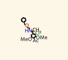 COc1cc([C@@H](C)NCCOCc2ccccc2)c(Cl)c(OC)c1C(C)=O